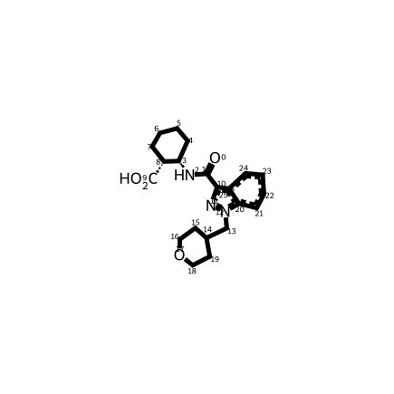 O=C(N[C@H]1CCCC[C@H]1C(=O)O)c1nn(CC2CCOCC2)c2ccccc12